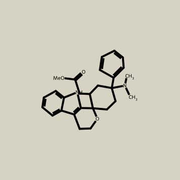 COC(=O)CC1CC(c2ccccc2)(N(C)C)CCC12OCCc1c2[nH]c2ccccc12